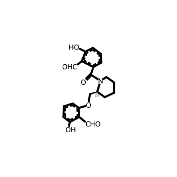 O=Cc1c(O)cccc1OC[C@@H]1CCCCN1C(=O)c1cccc(O)c1C=O